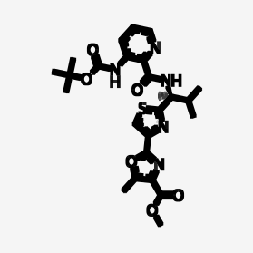 COC(=O)c1nc(-c2csc([C@@H](NC(=O)c3ncccc3NC(=O)OC(C)(C)C)C(C)C)n2)oc1C